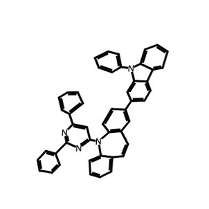 C1=Cc2cc(-c3ccc4c5ccccc5n(-c5ccccc5)c4c3)ccc2N(c2cc(-c3ccccc3)nc(-c3ccccc3)n2)c2ccccc21